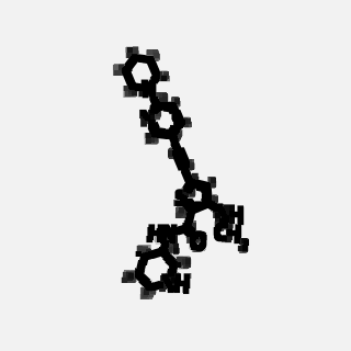 CNc1cc(C#Cc2ccc(N3CCCCC3)nc2)sc1C(=O)NC1CCCNC1